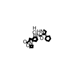 Cl.O=C1OC2(CCC2)n2c1cc1cc(NC(=O)[C@H]3NCC[C@H]3C3CCCCC3)ccc12